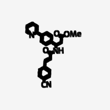 COC(=O)CC(NC(=O)/C=C/c1ccc(C#N)cc1)c1ccc(-c2ccccn2)cc1